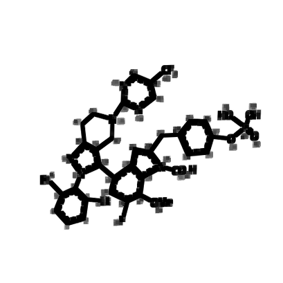 CCc1cccc(CC)c1-n1nc2c(c1-c1cc(F)c(OC)c3c1cc(Cc1ccc(OP(=O)(O)O)cc1)n3C(=O)O)CN(c1ncc(C(F)(F)F)cn1)CC2